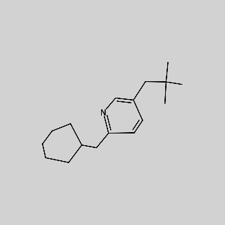 CC(C)(C)Cc1ccc(CC2CCCCC2)nc1